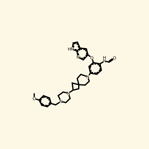 COc1ccc(CN2CCN(C3CC4(CCN(c5ccc(NC=O)c(Oc6cnc7[nH]ccc7c6)c5)CC4)C3)CC2)cc1